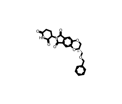 O=C1CCC(N2C(=O)c3cc4c(cc3C2=O)O[C@@H](COCc2ccccc2)CO4)C(=O)N1